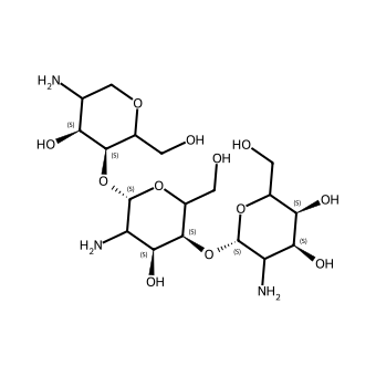 NC1[C@H](O[C@@H]2C(CO)O[C@@H](O[C@@H]3C(CO)OCC(N)[C@@H]3O)C(N)[C@@H]2O)OC(CO)[C@@H](O)[C@H]1O